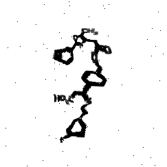 Cc1oc(-c2ccccc2)nc1CC(=O)OCc1ccc(C(CC(=O)O)SCCc2ccc(F)cc2)cc1